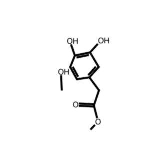 CO.COC(=O)Cc1ccc(O)c(O)c1